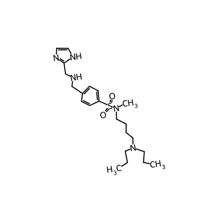 CCCN(CCC)CCCCN(C)S(=O)(=O)c1ccc(CNCc2ncc[nH]2)cc1